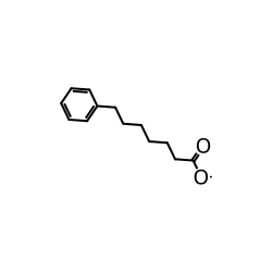 [O]C(=O)CCCCCCc1ccccc1